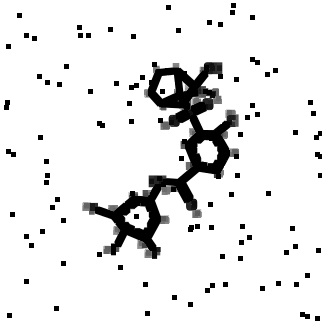 C[C@]1(O)CC2CCC1[C@@H]2S(=O)(=O)c1cc(C(=O)Nc2cc(F)c(F)c(F)c2)ccc1Cl